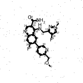 COCc1ccc(-c2cc3c(NCc4nn(C)cc4F)c(C(N)=O)cnc3cc2F)cn1